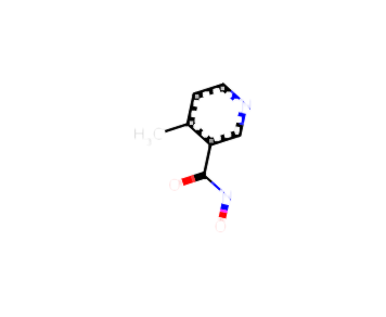 Cc1ccncc1C(=O)N=O